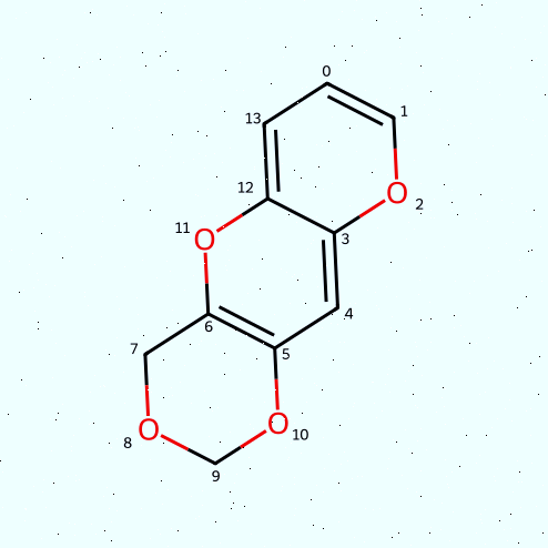 C1=COC2=CC3=C(COCO3)OC2=C1